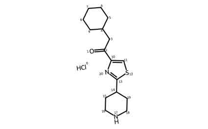 Cl.O=C(CC1CCCCC1)c1csc(C2CCNCC2)n1